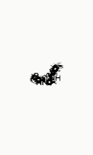 Cc1ccc(NC(=O)c2ccc3c(c2)OCCO3)cc1NC(=O)c1cc2cc(F)ccc2s1